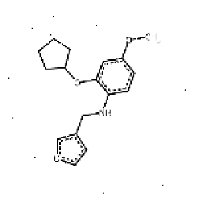 COc1ccc(NCc2ccoc2)c(OC2CCCC2)c1